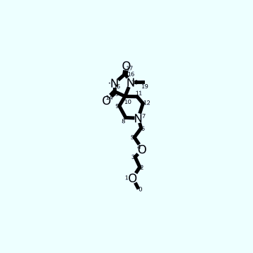 COCCOCCN1CCC2(CC1)C(=O)[N]C(=O)N2C